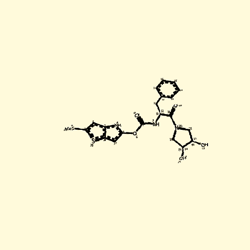 CSc1cc2[nH]c(OC(=O)N[C@@H](Cc3ccccc3)C(=O)N3C[C@@H](O)[C@@H](O)C3)cc2s1